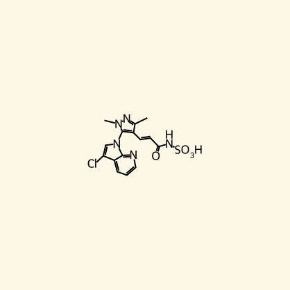 Cc1nn(C)c(-n2cc(Cl)c3cccnc32)c1/C=C/C(=O)NS(=O)(=O)O